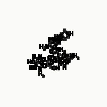 NC[C@@H]1O[C@H](O[C@H]2[C@@H](O)[C@H](O[C@@H]3[C@@H](O)[C@H](NC(=O)[C@@H](O)C(F)(F)CN)C[C@H](N)[C@H]3O[C@H]3O[C@H](CNCC4(O)CCNCC4)[C@@H](O)C[C@H]3N)O[C@@H]2CO)[C@H](N)[C@@H](O)[C@@H]1O